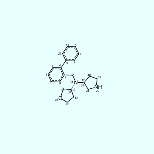 c1ccc(-c2ccccc2CN([C@@H]2CCOC2)[C@H]2CCNC2)cc1